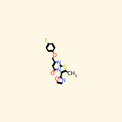 Cc1sc2nc(COc3ccc(F)cc3)cc(=O)n2c1-c1ncco1